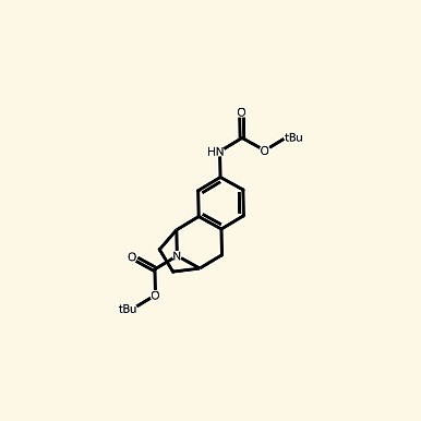 CC(C)(C)OC(=O)Nc1ccc2c(c1)C1CCC(C2)N1C(=O)OC(C)(C)C